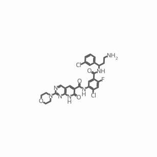 NCCC(NC(=O)c1cc(NC(=O)c2cc3cnc(N4CCOCC4)nc3[nH]c2=O)c(Cl)cc1F)c1cccc(Cl)c1